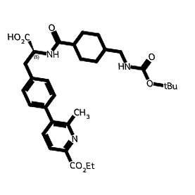 CCOC(=O)c1ccc(-c2ccc(C[C@H](NC(=O)C3CCC(CNC(=O)OC(C)(C)C)CC3)C(=O)O)cc2)c(C)n1